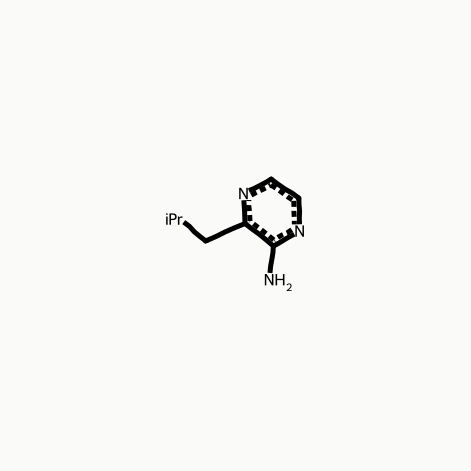 CC(C)Cc1nccnc1N